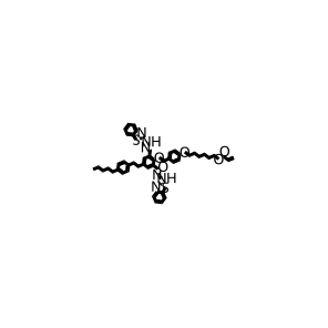 C=CC(=O)OCCCCCCOc1ccc(C(=O)Oc2c(/C=N/Nc3nc4ccccc4s3)cc(CCc3ccc(CCCCC)cc3)cc2/C=N/Nc2nc3ccccc3s2)cc1